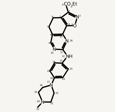 CCOC(=O)c1noc2c1CCc1cnc(Nc3ccc(N4CCN(C)CC4)cc3)nc1-2